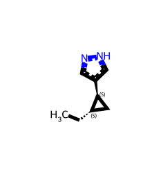 CC[C@H]1C[C@@H]1c1cn[nH]c1